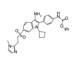 CC(C)OC(=O)Nc1ccc(-c2c(N)c3ccc(S(=O)(=O)CCc4nccn4C)cc3n2C2CCC2)cc1